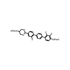 CCCCCc1ccc(-c2ccc(-c3ccc(C4OCC(CCCCC)CO4)cc3F)cc2)c(F)c1F